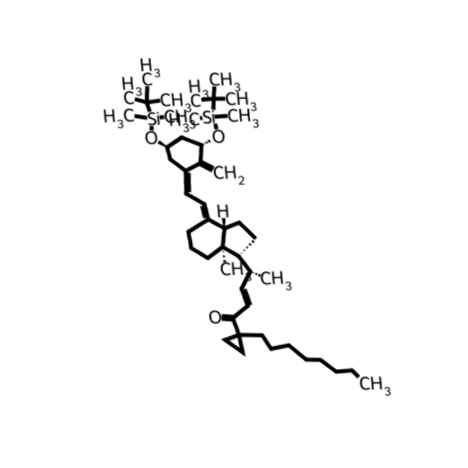 C=C1/C(=C\C=C2/CCC[C@]3(C)[C@@H]([C@H](C)/C=C/C(=O)C4(CCCCCCCC)CC4)CC[C@@H]23)C[C@@H](O[Si](C)(C)C(C)(C)C)C[C@@H]1O[Si](C)(C)C(C)(C)C